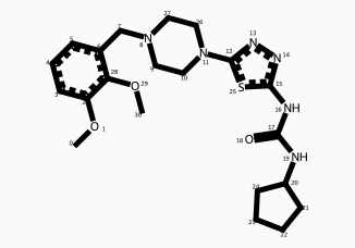 COc1cccc(CN2CCN(c3nnc(NC(=O)NC4CCCC4)s3)CC2)c1OC